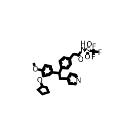 COc1ccc(C(Cc2ccncc2)c2ccc(CC(=O)NS(=O)(=O)C(F)(F)F)cc2)cc1OC1CCCC1